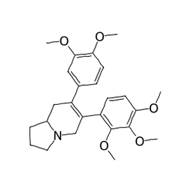 COc1ccc(C2=C(c3ccc(OC)c(OC)c3OC)CN3CCCC3C2)cc1OC